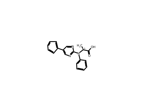 C[C@@H](C(=O)O)N(c1ccccc1)c1ncc(-c2ccccc2)cn1